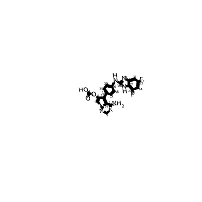 Nc1ncnn2cc(OC(=O)O)c(-c3ccc(Nc4nc5cc(F)cc(F)c5[nH]4)cc3)c12